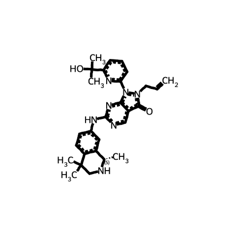 C=CCn1c(=O)c2cnc(Nc3ccc4c(c3)[C@H](C)NCC4(C)C)nc2n1-c1cccc(C(C)(C)O)n1